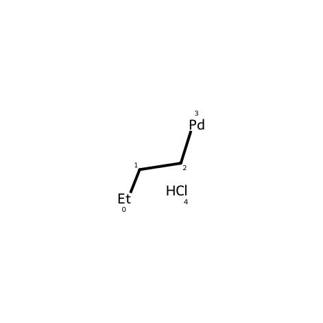 CCC[CH2][Pd].Cl